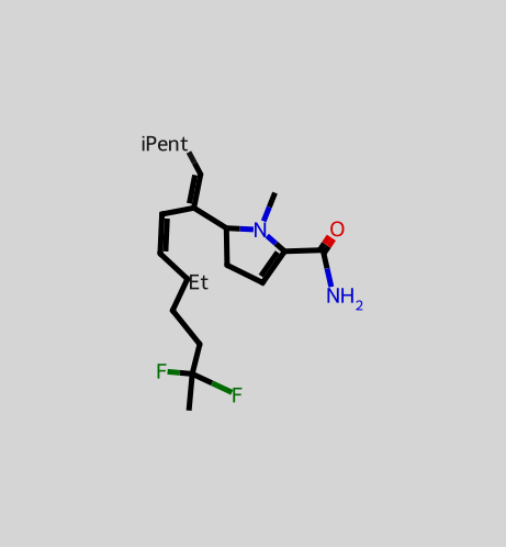 CCCC(C)/C=C(\C=C/[C@@H](CC)CCC(C)(F)F)C1CC=C(C(N)=O)N1C